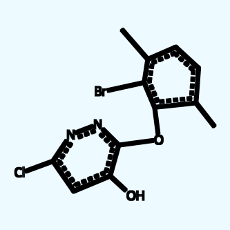 Cc1ccc(C)c(Oc2nnc(Cl)cc2O)c1Br